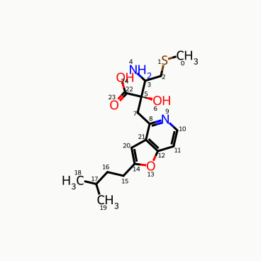 CSCC(N)[C@](O)(Cc1nccc2oc(CCC(C)C)cc12)C(=O)O